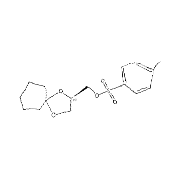 Cc1ccc(S(=O)(=O)OC[C@H]2COC3(CCCCC3)O2)cc1